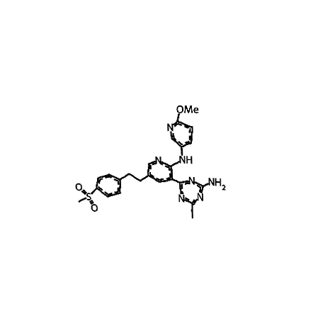 COc1ccc(Nc2ncc(CCc3ccc(S(C)(=O)=O)cc3)cc2-c2nc(C)nc(N)n2)cn1